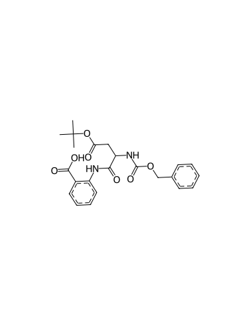 CC(C)(C)OC(=O)CC(NC(=O)OCc1ccccc1)C(=O)Nc1ccccc1C(=O)O